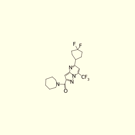 O=C(c1cc2nc(C3CCC(F)(F)CC3)cc(C(F)(F)F)n2n1)N1CCCCCC1